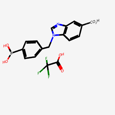 O=C(O)C(F)(F)F.O=C(O)c1ccc2c(c1)ncn2Cc1ccc(B(O)O)cc1